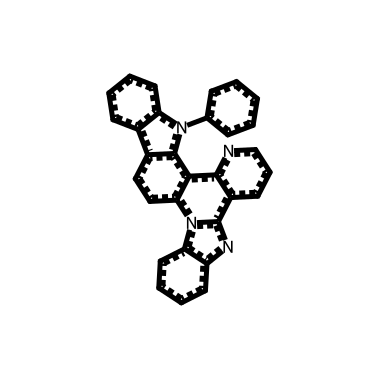 c1ccc(-n2c3ccccc3c3ccc4c(c5ncccc5c5nc6ccccc6n45)c32)cc1